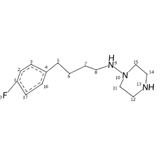 Fc1ccc(CCCCNN2CCNCC2)cc1